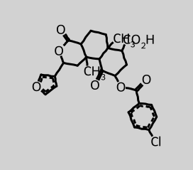 CC12CCC3C(=O)OC(c4ccoc4)CC3(C)C1C(=O)C(OC(=O)c1ccc(Cl)cc1)CC2C(=O)O